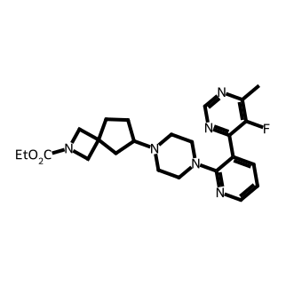 CCOC(=O)N1CC2(CCC(N3CCN(c4ncccc4-c4ncnc(C)c4F)CC3)C2)C1